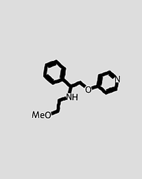 COCCNC(COc1ccncc1)c1ccccc1